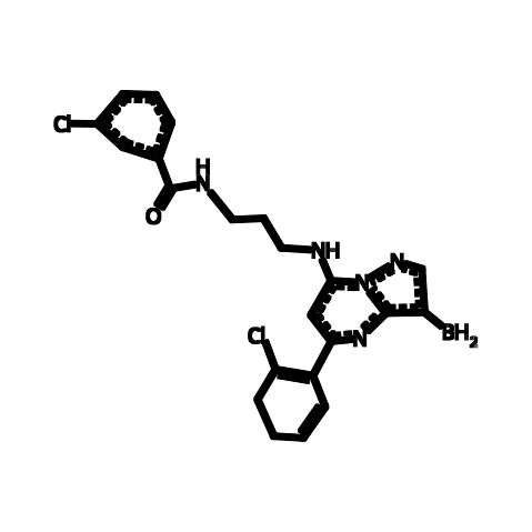 Bc1cnn2c(NCCCNC(=O)c3cccc(Cl)c3)cc(C3=C(Cl)CCC=C3)nc12